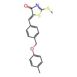 CSC1=NC(=O)C(=Cc2ccc(COc3ccc(C)cc3)cc2)S1